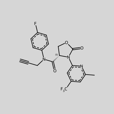 C#CCN(C(=O)[C@@H]1COC(=O)N1c1cc(C(F)(F)F)cc(C)n1)c1ccc(F)cc1